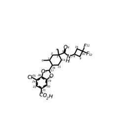 CC1CC(C)(C(=O)NC2CC(F)(F)C2)CCC1C1Oc2cc(C(=O)O)cc(Cl)c2O1